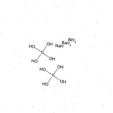 [BaH2].[BiH3].[NaH].[OH][Ti]([OH])([OH])[OH].[OH][Ti]([OH])([OH])[OH]